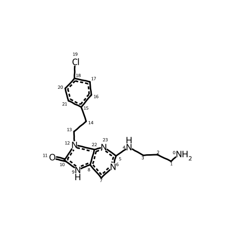 NCCCNc1ncc2[nH]c(=O)n(CCc3ccc(Cl)cc3)c2n1